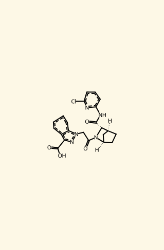 O=C(O)c1nn(CC(=O)N2[C@@H]3CC[C@@H](C3)[C@H]2C(=O)Nc2cccc(Cl)n2)c2ccccc12